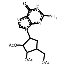 CC(=O)OCC1CC(n2cnc3c(=O)[nH]c(N)nc32)C(OC(C)=O)C1OC(C)=O